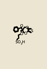 O=C(c1ccccc1)C1(COCCCS(=O)(=O)O)COc2cscc2OC1